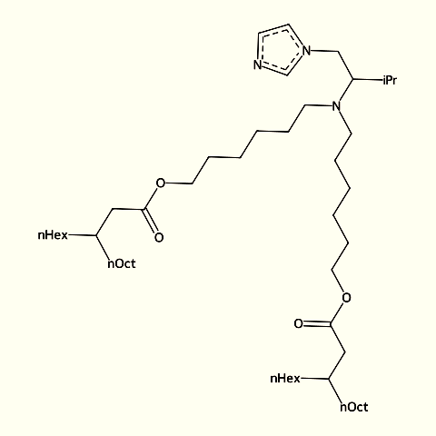 CCCCCCCCC(CCCCCC)CC(=O)OCCCCCCN(CCCCCCOC(=O)CC(CCCCCC)CCCCCCCC)C(Cn1ccnc1)C(C)C